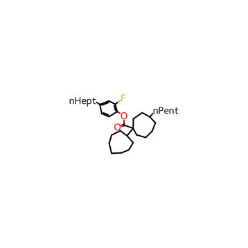 CCCCCCCc1ccc(OC(=O)C2(C3CCCCCCC3)CCCCC(CCCCC)CC2)c(F)c1